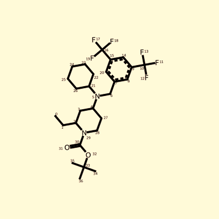 CCC1CC(N(Cc2cc(C(F)(F)F)cc(C(F)(F)F)c2)C2CCCCC2)CCN1C(=O)OC(C)(C)C